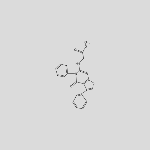 COC(=O)CNc1nc2scc(-c3ccccc3)c2c(=O)n1-c1ccccc1